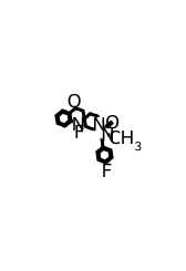 CN(Cc1ccc(F)cc1)C(=O)N1CCC2(CC1)CC(=O)c1ccccc1N2F